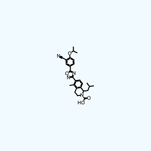 Cc1c(-c2noc(-c3ccc(OC(C)C)c(C#N)c3)n2)ccc2c1CCN(C(=O)O)C2CC(C)C